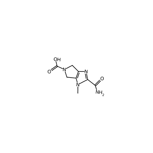 Cn1c(C(N)=O)nc2c1CN(C(=O)O)C2